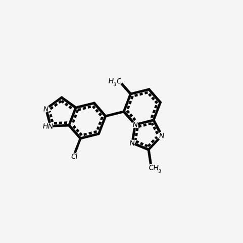 Cc1nc2ccc(C)c(-c3cc(Cl)c4[nH]ncc4c3)n2n1